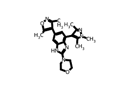 Cc1noc(C)c1-c1cc(-c2c(C)nn(C)c2C)c2nc(N3CCOCC3)[nH]c2c1